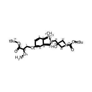 C[n+]1c2ccc(OCC(ON)C(=O)OC(C)(C)C)cc2cn1CC1(O)CN(C(=O)OC(C)(C)C)C1